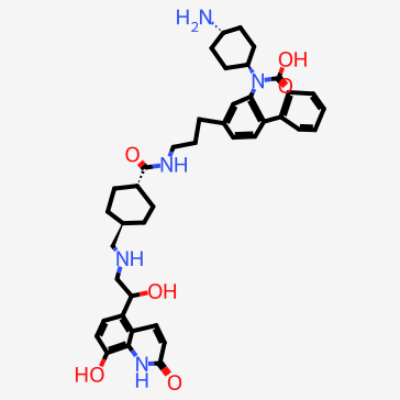 N[C@H]1CC[C@H](N(C(=O)O)c2cc(CCCNC(=O)[C@H]3CC[C@H](CNCC(O)c4ccc(O)c5[nH]c(=O)ccc45)CC3)ccc2-c2ccccc2)CC1